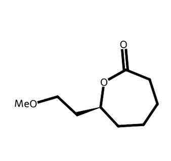 COCC[C@@H]1CCCCC(=O)O1